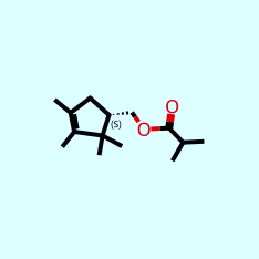 CC1=C(C)C(C)(C)[C@@H](COC(=O)C(C)C)C1